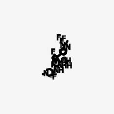 [2H]C([2H])([2H])Oc1nc(N[C@@H]2CCN(C)C[C@@H]2F)nn2cc(F)c(-c3ccc4nc(C)n(CC(F)F)c4c3)c12